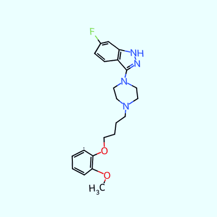 COc1ccc[c]c1OCCCCN1CCN(c2n[nH]c3cc(F)ccc23)CC1